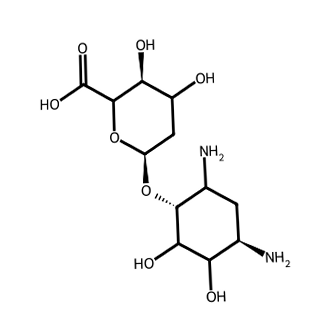 NC1C[C@@H](N)C(O)C(O)[C@@H]1O[C@@H]1CC(O)[C@H](O)C(C(=O)O)O1